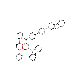 c1ccc(-c2ccc(-c3ccccc3N(c3ccc(-c4ccc(-c5ccc6c(c5)oc5ccccc56)cc4)cc3)c3cccc(-n4c5ccccc5c5ccccc54)c3)cc2)cc1